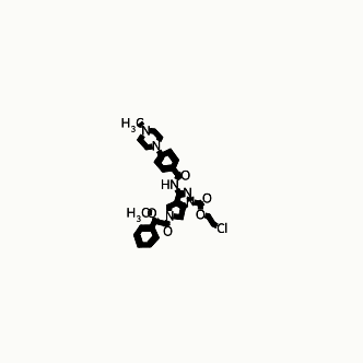 CO[C@@H](C(=O)N1Cc2c(NC(=O)c3ccc(N4CCN(C)CC4)cc3)nn(C(=O)OCCCl)c2C1)c1ccccc1